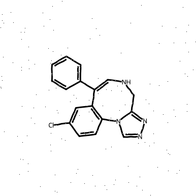 Clc1ccc2c(c1)/C(c1ccccc1)=C\NCc1nncn1-2